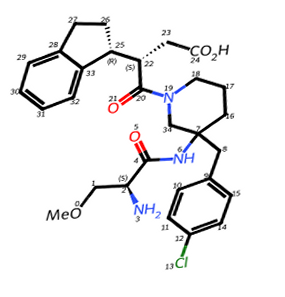 COC[C@H](N)C(=O)NC1(Cc2ccc(Cl)cc2)CCCN(C(=O)[C@@H](CC(=O)O)[C@H]2CCc3ccccc32)C1